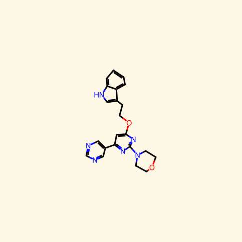 c1ccc2c(CCOc3cc(-c4cncnc4)nc(N4CCOCC4)n3)c[nH]c2c1